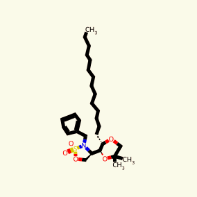 CCCCCCCCCCCCCC[C@@H]1OCC(C)(C)O[C@@H]1[C@H]1COS(=O)(=O)N1Cc1ccccc1